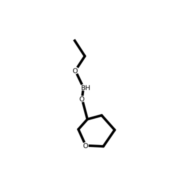 CCOBOC1CCCOC1